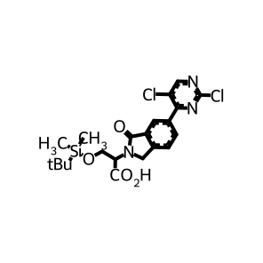 CC(C)(C)[Si](C)(C)OCC(C(=O)O)N1Cc2ccc(-c3nc(Cl)ncc3Cl)cc2C1=O